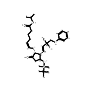 CC(C)OC(=O)CCC/C=C\C[C@H]1C(=O)CC(O[Si](C)(C)C(C)(C)C)[C@@H]1/C=C/C(F)(F)COc1ccccc1